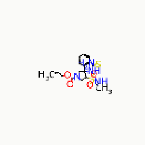 C=CCOC(=O)N1CC(S(=O)(=O)NC)C(NC(N)=S)(c2ccccc2)C1